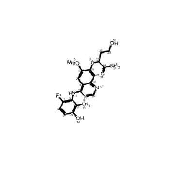 COc1cc2c(Nc3c(F)ccc(O)c3C)ncnc2cc1OC(CCO)C(N)=O